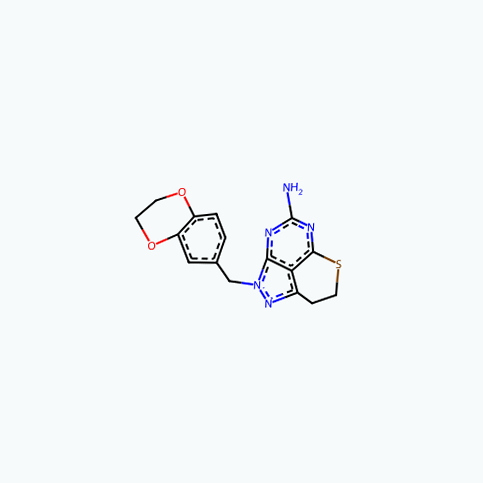 Nc1nc2c3c(nn(Cc4ccc5c(c4)OCCO5)c3n1)CCS2